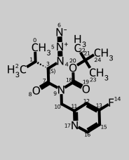 CC(C)[C@H](N=[N+]=[N-])C(=O)N(Cc1cc(F)ccn1)C(=O)OC(C)(C)C